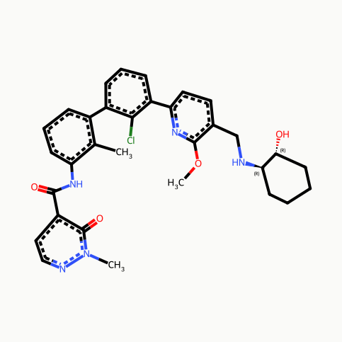 COc1nc(-c2cccc(-c3cccc(NC(=O)c4ccnn(C)c4=O)c3C)c2Cl)ccc1CN[C@@H]1CCCC[C@H]1O